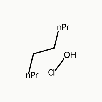 CCCCCCCC.OCl